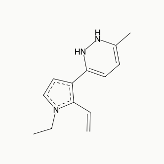 C=Cc1c(C2=CC=C(C)NN2)ccn1CC